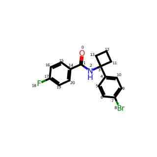 O=C(NC1(c2ccc(Br)cc2)CCC1)c1ccc(F)cc1